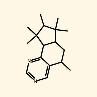 CC1CC2C(c3ncncc31)C(C)(C)C(C)C2(C)C